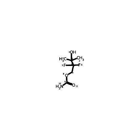 CC(C)(O)C(F)(F)COC(N)=O